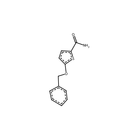 NC(=O)c1ccc(OCc2ccccc2)s1